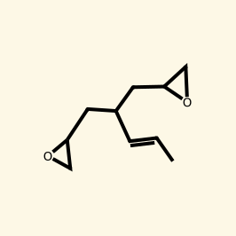 CC=CC(CC1CO1)CC1CO1